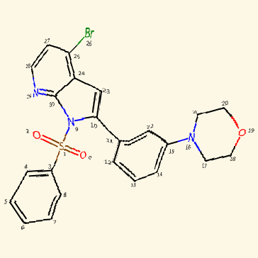 O=S(=O)(c1ccccc1)n1c(-c2cccc(N3CCOCC3)c2)cc2c(Br)ccnc21